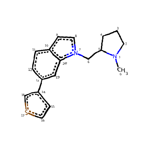 CN1CCCC1Cn1ccc2ccc(-c3ccsc3)cc21